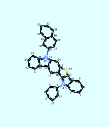 c1ccc(-n2c3ccccc3c3sc4cc5c(cc4c32)c2ccccc2n5-c2ccc3ccccc3c2)cc1